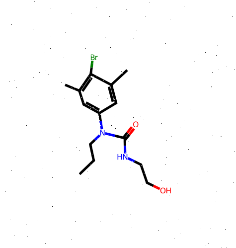 CCCN(C(=O)NCCO)c1cc(C)c(Br)c(C)c1